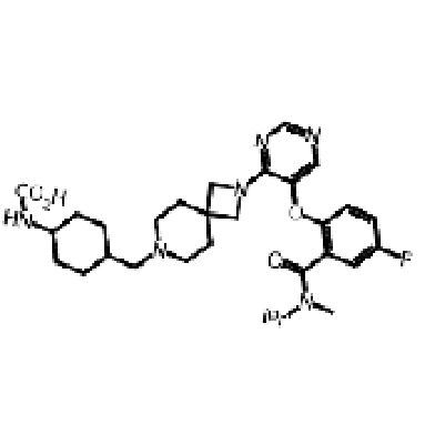 CC(C)N(C)C(=O)c1cc(F)ccc1Oc1cncnc1N1CC2(CCN(CC3CCC(NC(=O)O)CC3)CC2)C1